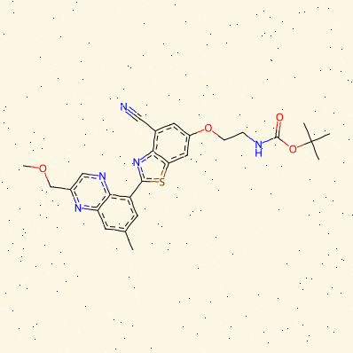 COCc1cnc2c(-c3nc4c(C#N)cc(OCCNC(=O)OC(C)(C)C)cc4s3)cc(C)cc2n1